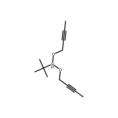 CC#CCO[SiH](OCC#CC)C(C)(C)C